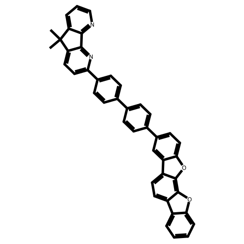 CC1(C)c2cccnc2-c2nc(-c3ccc(-c4ccc(-c5ccc6oc7c(ccc8c9ccccc9oc87)c6c5)cc4)cc3)ccc21